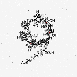 CN[C@H](CSCC1O[C@H]2O[C@@H]3C(CO)O[C@H](O[C@@H]4C(CO)O[C@H](O[C@@H]5C(CO)O[C@H](O[C@@H]6C(CSC[C@@H](CC(=O)CCOCCOCCC(C)=O)C(=O)O)O[C@H](C[C@@H]7C(CO)O[C@@H](O[C@@H]8C(CO)O[C@@H](O[C@H]1[C@H](O)C2O)C(O)[C@H]8O)C(O)[C@H]7O)C(O)[C@H]6O)C(O)[C@H]5O)C(O)[C@H]4O)C(O)[C@H]3O)C(=O)O